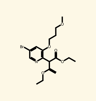 C=C(OCC)C(C(=O)OCC)c1ncc(Br)cc1OCCCOC